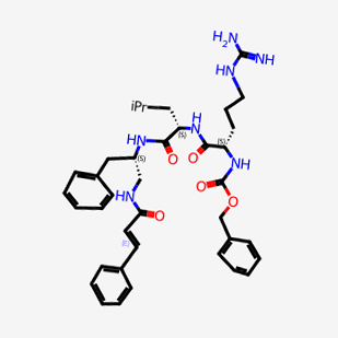 CC(C)C[C@H](NC(=O)[C@H](CCCNC(=N)N)NC(=O)OCc1ccccc1)C(=O)N[C@H](CNC(=O)/C=C/c1ccccc1)Cc1ccccc1